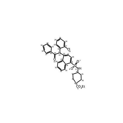 CCOC(=O)N1CCC(NS(=O)(=O)c2ccc(N(C(=O)c3ccccc3)c3ccccc3Cl)c3ccccc23)CC1